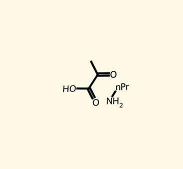 CC(=O)C(=O)O.CCCN